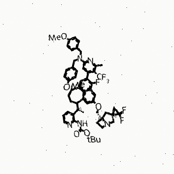 COc1ccc(CN(Cc2ccc(OC)cc2)c2cc(-c3cc4c5c(cc(OC[C@@]67CCN6C[C@]6(CC6(F)F)C7)cc5c3F)C([C@@H](C)c3cccnc3NC(=O)OC(C)(C)C)CCC4)c(C(F)(F)F)c(C)n2)cc1